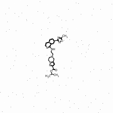 Cc1nc(-c2ccc3ccnc(NCCN4CCn5nc(C(=O)OC(C)C)cc5C4)c3c2)no1